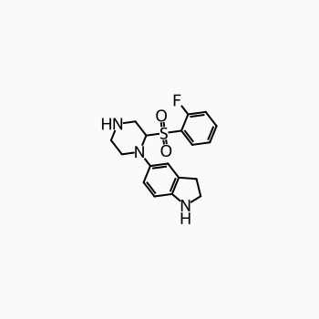 O=S(=O)(c1ccccc1F)C1CNCCN1c1ccc2c(c1)CCN2